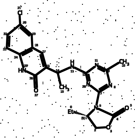 CC[C@H]1COC(=O)N1c1nc(C)nc(NC(C)c2cc3cc(Cl)ccc3[nH]c2=O)n1